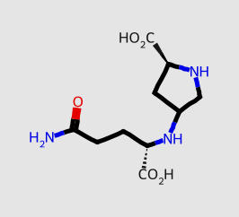 NC(=O)CC[C@H](NC1CN[C@H](C(=O)O)C1)C(=O)O